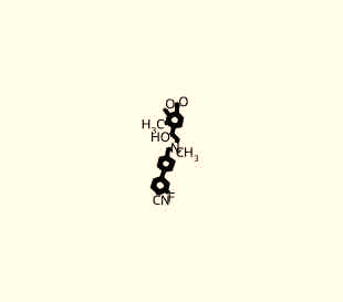 Cc1c(C(O)CN(C)Cc2ccc(-c3ccc(C#N)c(F)c3)cc2)ccc2c1COC2=O